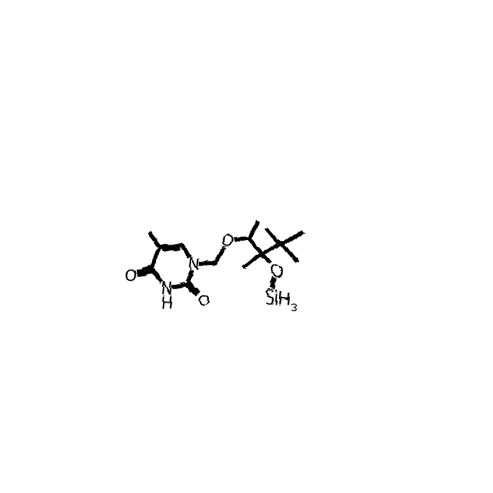 Cc1cn(COC(C)C(C)(O[SiH3])C(C)(C)C)c(=O)[nH]c1=O